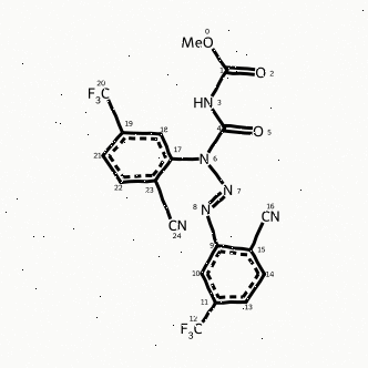 COC(=O)NC(=O)N(N=Nc1cc(C(F)(F)F)ccc1C#N)c1cc(C(F)(F)F)ccc1C#N